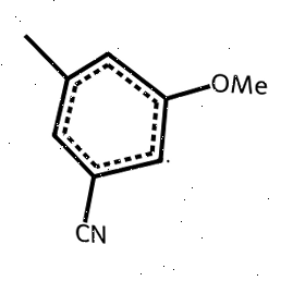 COc1[c]c(C#N)cc(C)c1